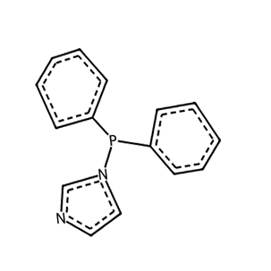 c1ccc(P(c2ccccc2)n2ccnc2)cc1